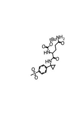 CC(C)(C)OC(=O)NC(CCC(N)=O)C(=O)NC1(c2ccc(S(C)(=O)=O)cc2)CC1